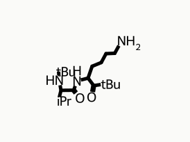 CC(C)C(NC(C)(C)C)C(=O)NC(CCCCN)C(=O)C(C)(C)C